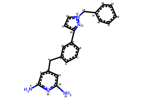 Nc1cc(Cc2cccc(-c3ccn(Cc4ccccc4)n3)c2)cc(N)n1